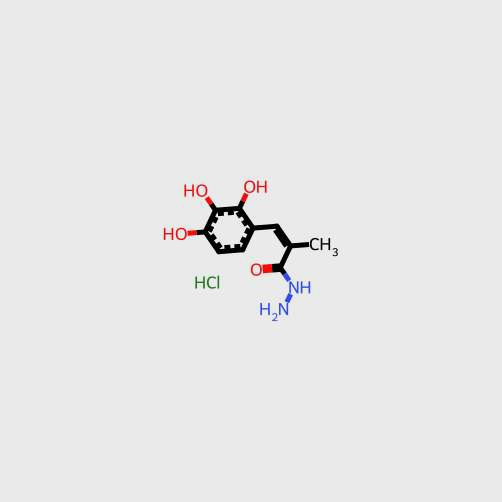 CC(=Cc1ccc(O)c(O)c1O)C(=O)NN.Cl